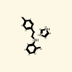 Cc1ccc(CCBc2ccccc2C)cc1.c1c[nH]cn1